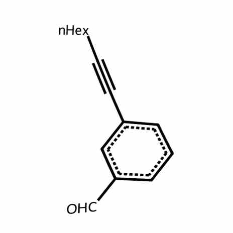 CCCCCCC#Cc1cccc(C=O)c1